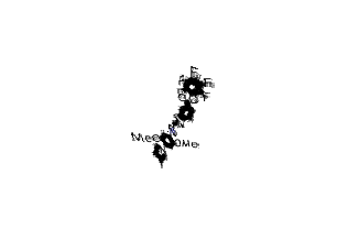 COc1cc(N2CCCC2)c(OC)cc1/N=N/c1nc2ccc(C(=O)Oc3c(F)c(F)c(F)c(F)c3F)cc2s1